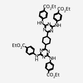 CCOC(=O)c1ccc(Nc2nc(Nc3ccc(C(=O)OCC)cc3)nc(C3CCC(c4nc(Nc5ccc(C(=O)OCC)cc5)nc(Nc5ccc(C(=O)OCC)cc5)n4)CC3)n2)cc1